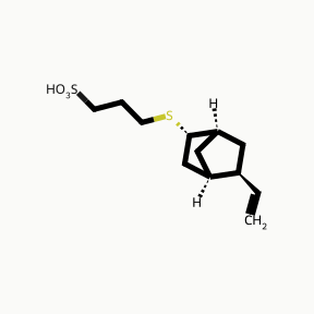 C=C[C@@H]1C[C@H]2C[C@@H]1C[C@@H]2SCCCS(=O)(=O)O